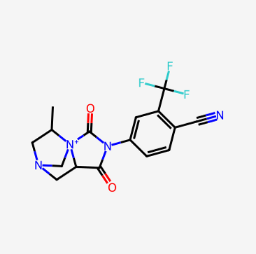 CC1CN2CC3C(=O)N(c4ccc(C#N)c(C(F)(F)F)c4)C(=O)[N+]13C2